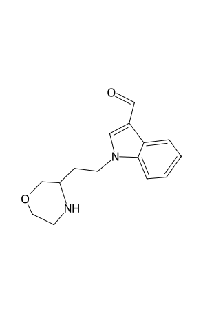 O=Cc1cn(CCC2COCCN2)c2ccccc12